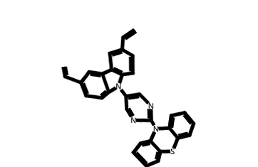 C=Cc1ccc2c(c1)c1cc(C=C)ccc1n2-c1cnc(N2c3ccccc3Sc3ccccc32)nc1